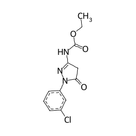 CCOC(=O)NC1=NN(c2cccc(Cl)c2)C(=O)C1